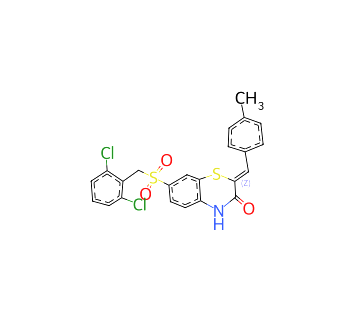 Cc1ccc(/C=C2\Sc3cc(S(=O)(=O)Cc4c(Cl)cccc4Cl)ccc3NC2=O)cc1